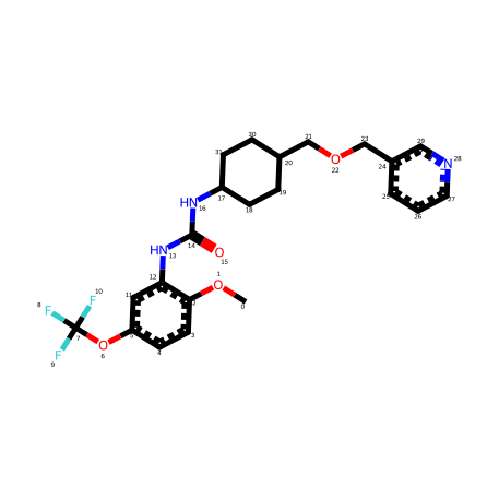 COc1ccc(OC(F)(F)F)cc1NC(=O)NC1CCC(COCc2cccnc2)CC1